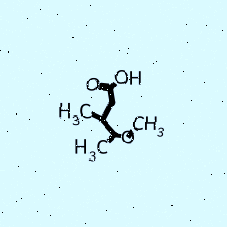 COC(C)C(C)CC(=O)O